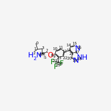 CC(C)C[C@](C)(N)COc1ccc(-c2ccnc3[nH]ncc23)cc1C(F)(F)F